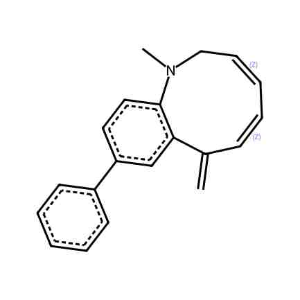 C=C1/C=C\C=C/CN(C)c2ccc(-c3ccccc3)cc21